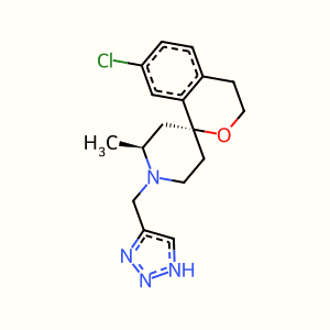 C[C@H]1C[C@@]2(CCN1Cc1c[nH]nn1)OCCc1ccc(Cl)cc12